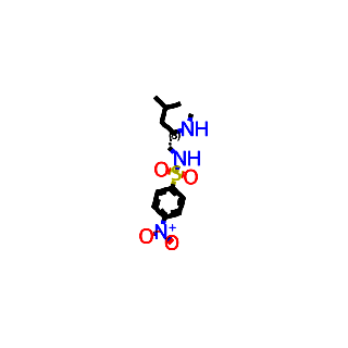 CN[C@H](CNS(=O)(=O)c1ccc([N+](=O)[O-])cc1)CC(C)C